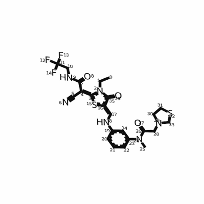 CCn1c(=C(C#N)C(=O)NCC(F)(F)F)sc(=CNc2cccc(N(C)C(=O)CN3CCSC3)c2)c1=O